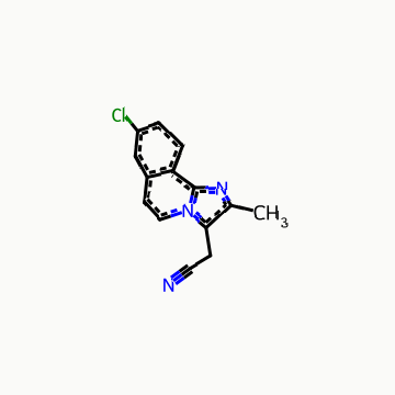 Cc1nc2c3ccc(Cl)cc3ccn2c1CC#N